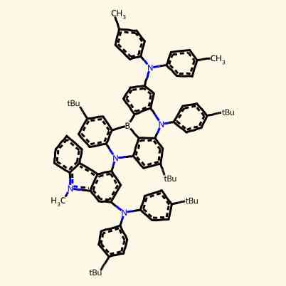 Cc1ccc(N(c2ccc(C)cc2)c2ccc3c(c2)N(c2ccc(C(C)(C)C)cc2)c2cc(C(C)(C)C)cc4c2B3c2cc(C(C)(C)C)ccc2N4c2cc(N(c3ccc(C(C)(C)C)cc3)c3ccc(C(C)(C)C)cc3)cc3c2c2ccccc2n3C)cc1